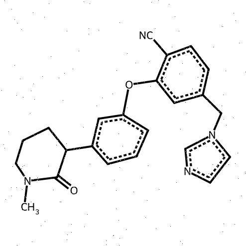 CN1CCCC(c2cccc(Oc3cc(Cn4ccnc4)ccc3C#N)c2)C1=O